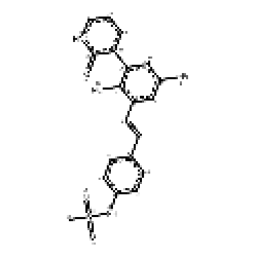 CC(C)(C)c1cc(/C=C/c2ccc(NS(C)(=O)=O)cc2)c(C#N)c(-c2ccc[nH]c2=O)n1